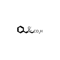 O=C(O)C/[N+]([O-])=C/c1ccccc1